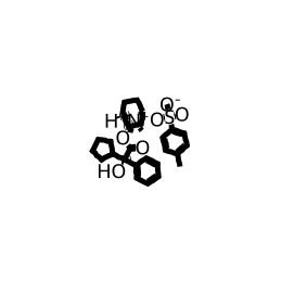 C[N+]1(C)C2CC[C@@H]1[C@@H](OC(=O)[C@@](O)(c1ccccc1)C1CCCC1)C2.Cc1ccc(S(=O)(=O)[O-])cc1